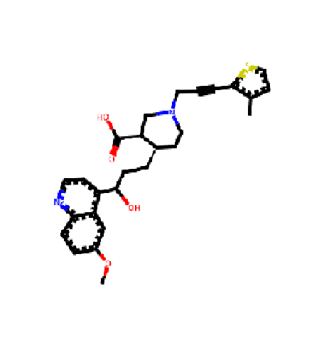 COc1ccc2nccc(C(O)CC[C@@H]3CCN(CC#Cc4sccc4C)C[C@@H]3C(=O)O)c2c1